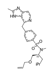 C=CCOC[C@H](CC(C)C)N(C)S(=O)(=O)c1ccc(Cc2nccc3nc(C)[nH]c23)cc1